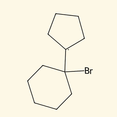 BrC1([C]2CCCC2)CCCCC1